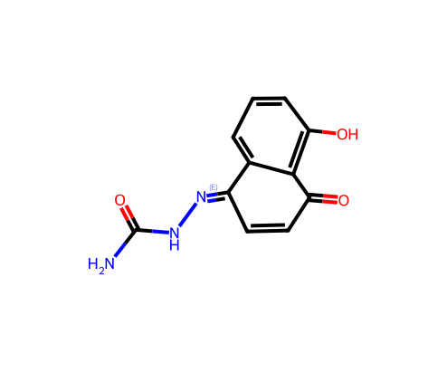 NC(=O)N/N=C1\C=CC(=O)c2c(O)cccc21